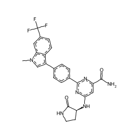 Cn1cc(-c2ccc(-c3nc(N[C@H]4CCNC4=O)cc(C(N)=O)n3)cc2)c2ccc(C(F)(F)F)cc21